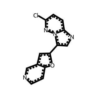 Clc1ccc2ncc(-c3cc4cnccc4o3)n2n1